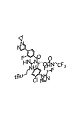 CC(C)(C)CCNC(=N)N(C(=O)c1ccc(-c2cnn(C3CC3)c2)c(F)c1)[C@H](COC(=O)NCC(F)(F)F)c1ccc(Cl)c(-n2ncnc2C(F)F)c1